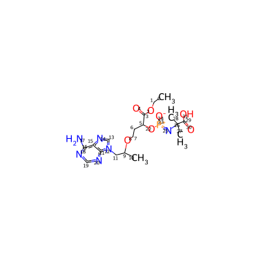 CCOC(=O)C(CCOC(C)Cn1cnc2c(N)ncnc21)O/[P+]([O-])=N/C(C)(C)C(=O)O